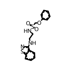 O=S(=O)(COc1ccccc1)NCCNc1nsc2ccccc12